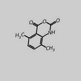 Cc1ccc(C)c2c(=O)oc(=O)[nH]c12